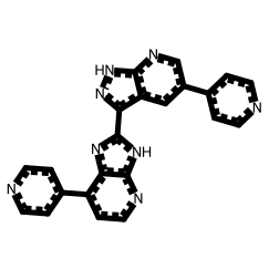 c1cc(-c2cnc3[nH]nc(-c4nc5c(-c6ccncc6)ccnc5[nH]4)c3c2)ccn1